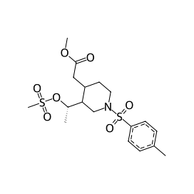 COC(=O)CC1CCN(S(=O)(=O)c2ccc(C)cc2)CC1[C@H](C)OS(C)(=O)=O